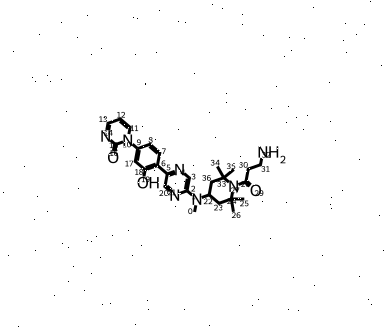 CN(c1cnc(-c2ccc(-n3cccnc3=O)cc2O)cn1)C1CC(C)(C)N(C(=O)CCN)C(C)(C)C1